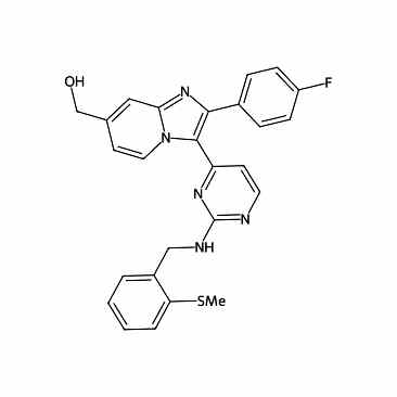 CSc1ccccc1CNc1nccc(-c2c(-c3ccc(F)cc3)nc3cc(CO)ccn23)n1